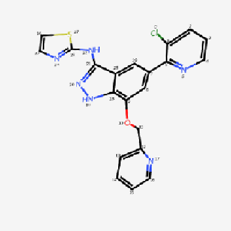 Clc1cccnc1-c1cc(OCc2ccccn2)c2[nH]nc(Nc3nccs3)c2c1